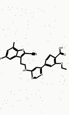 CCOc1cc(-c2cc(NCCc3c(C#N)sc4c(C)cc(F)cc34)ncn2)ccc1C(=O)O